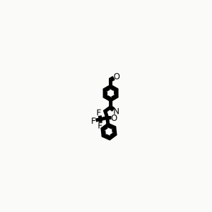 O=Cc1ccc(C2=NOC(c3ccccc3)(C(F)(F)F)C2)cc1